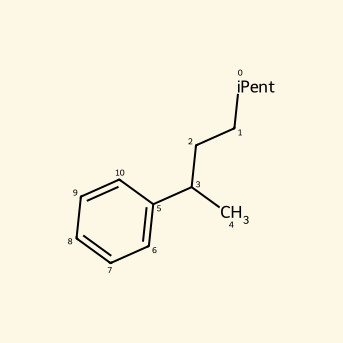 CCCC(C)CCC(C)c1ccccc1